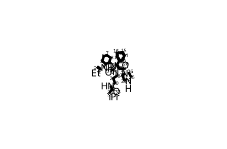 C=C(CC)N[C@H]1CCCCC1n1c(-c2ccccc2)c(C(=O)N2CCNCC2)n(CCCNC(=O)CC(C)C)c1=O